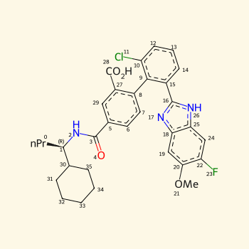 CCC[C@@H](NC(=O)c1ccc(-c2c(Cl)cccc2-c2nc3cc(OC)c(F)cc3[nH]2)c(C(=O)O)c1)C1CCCCC1